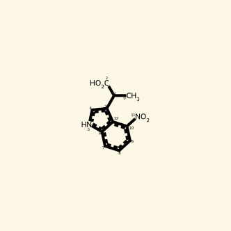 CC(C(=O)O)c1c[nH]c2cccc([N+](=O)[O-])c12